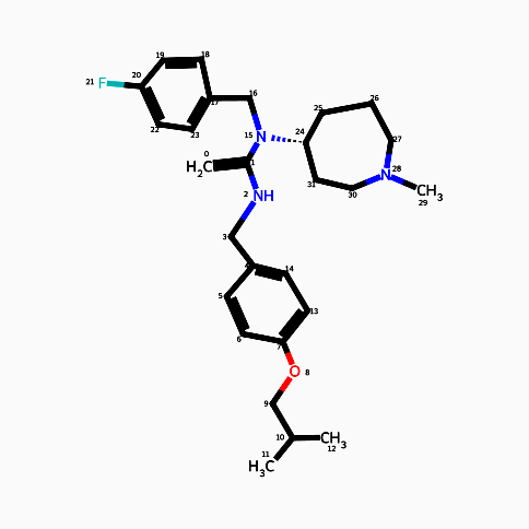 C=C(NCc1ccc(OCC(C)C)cc1)N(Cc1ccc(F)cc1)[C@@H]1CCCN(C)CC1